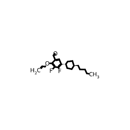 C=CCOc1c(C=O)cc([C@H]2CC[C@H](CCCCC)CC2)c(F)c1F